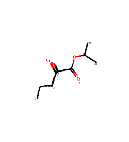 CCCC(=O)C(=O)OC(C)C